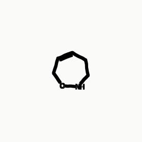 C1=CCONCC1